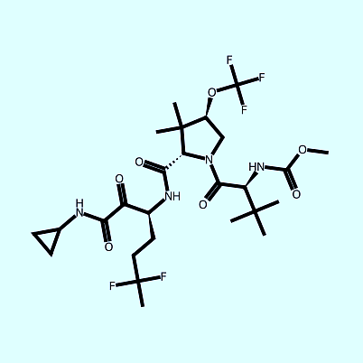 COC(=O)N[C@H](C(=O)N1C[C@H](OC(F)(F)F)C(C)(C)[C@H]1C(=O)N[C@@H](CCC(C)(F)F)C(=O)C(=O)NC1CC1)C(C)(C)C